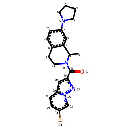 CC1c2cc(N3CCCC3)ccc2CCN1C(=O)c1cc2ccc(Br)cn2n1